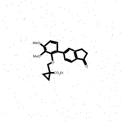 CCOC(=O)C1(COc2c(-c3ccc4c(c3)CCC4=O)ccc(OC)c2OC)CC1